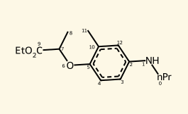 CCCNc1ccc(OC(C)C(=O)OCC)c(C)c1